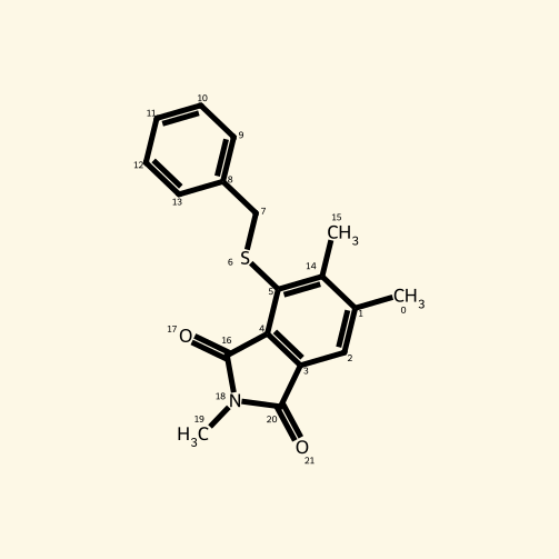 Cc1cc2c(c(SCc3ccccc3)c1C)C(=O)N(C)C2=O